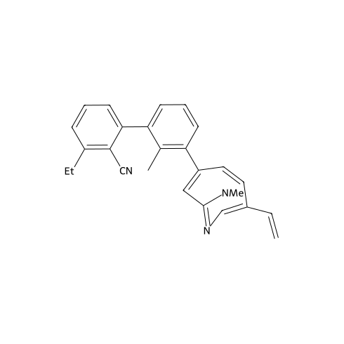 C=CC1=C\N=C(NC)\C=C(c2cccc(-c3cccc(CC)c3C#N)c2C)/C=C\1